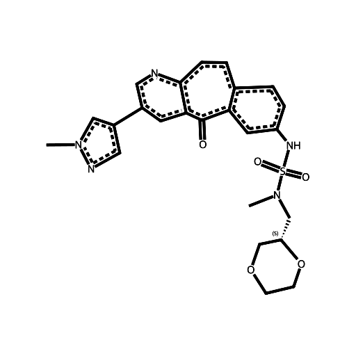 CN(C[C@H]1COCCO1)S(=O)(=O)Nc1ccc2ccc3ncc(-c4cnn(C)c4)cc3c(=O)c2c1